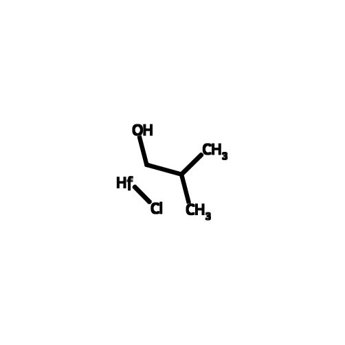 CC(C)CO.[Cl][Hf]